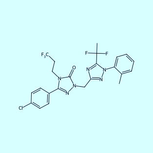 Cc1ccccc1-n1nc(Cn2nc(-c3ccc(Cl)cc3)n(CCC(F)(F)F)c2=O)nc1C(C)(F)F